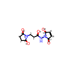 O=C(CCN1C(=O)CCC1=O)NN1C(=O)C=CC1=O